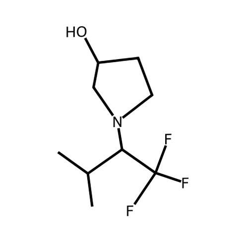 CC(C)C(N1CCC(O)C1)C(F)(F)F